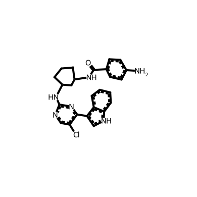 Nc1ccc(C(=O)NC2CCCC(Nc3ncc(Cl)c(-c4c[nH]c5ccccc45)n3)C2)cc1